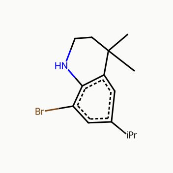 CC(C)c1cc(Br)c2c(c1)C(C)(C)CCN2